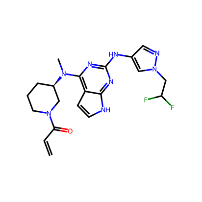 C=CC(=O)N1CCC[C@@H](N(C)c2nc(Nc3cnn(CC(F)F)c3)nc3[nH]ccc23)C1